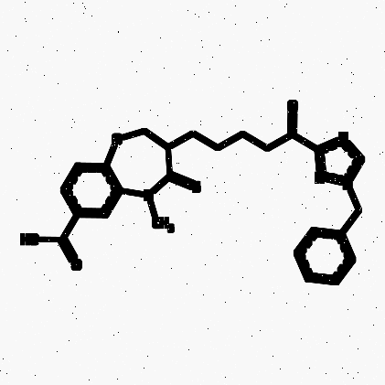 CN1C(=S)C(CCCCC(=O)c2ncn(Cc3ccccc3)n2)COc2ccc(C(=O)O)cc21